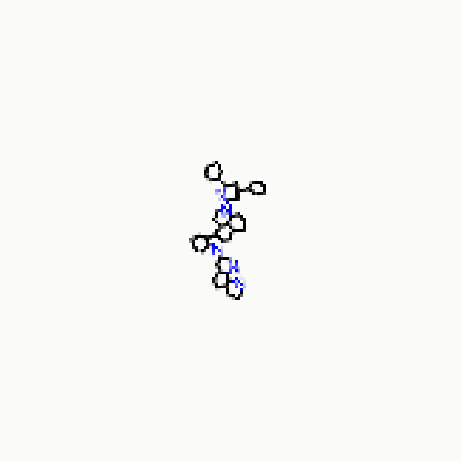 C1=CN(c2cc(-c3ccccc3)cc(-c3ccccc3)n2)c2cccc3cc4c(c1c23)c1ccccc1n4-c1cnc2c(ccc3cccnc32)c1